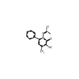 [C-]#[N+]c1c(C(F)(F)F)cc(-c2ccccc2)n(/N=C(\C)CC)c1=O